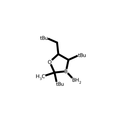 BB1C(C(C)(C)C)C(CC(C)(C)C)OC1(C)C(C)(C)C